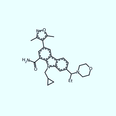 CCC(c1ccc2c3cc(-c4c(C)noc4C)cc(C(N)=O)c3n(CC3CC3)c2c1)N1CCOCC1